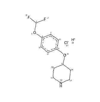 FC(F)Oc1ccc(OC2CCNCC2)cc1.[Cl-].[H+]